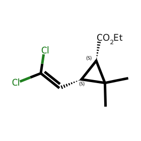 CCOC(=O)[C@H]1[C@@H](C=C(Cl)Cl)C1(C)C